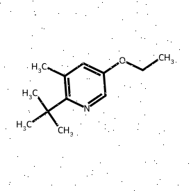 CCOc1cnc(C(C)(C)C)c(C)c1